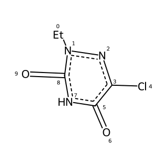 CCn1nc(Cl)c(=O)[nH]c1=O